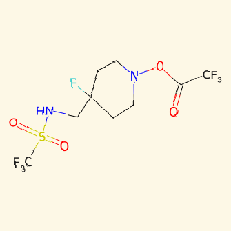 O=C(ON1CCC(F)(CNS(=O)(=O)C(F)(F)F)CC1)C(F)(F)F